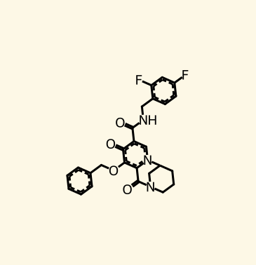 O=C(NCc1ccc(F)cc1F)c1cn2c(c(OCc3ccccc3)c1=O)C(=O)N1CCCC2C1